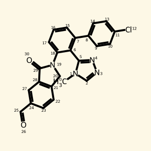 Cn1cnnc1-c1c(-c2ccc(Cl)cc2)cccc1N1Cc2ccc(C=O)cc2C1=O